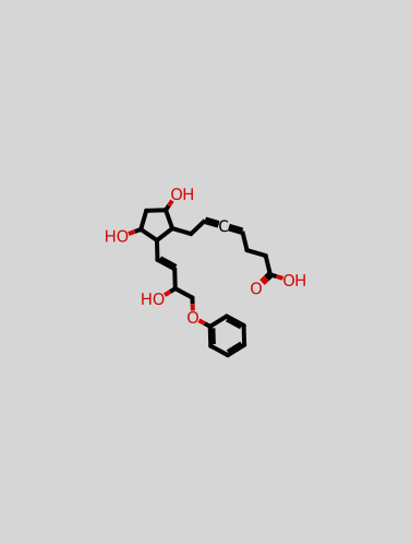 O=C(O)CCC=C=CCC1C(O)CC(O)C1/C=C/C(O)COc1ccccc1